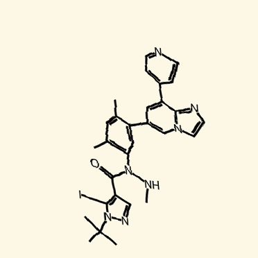 CNN(C(=O)c1cnn(C(C)(C)C)c1I)c1cc(-c2cc(-c3ccncc3)c3nccn3c2)c(C)cc1C